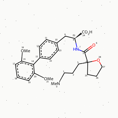 CNCCCC1(C(=O)N[C@@H](Cc2ccc(-c3c(OC)cccc3OC)cc2)C(=O)O)CCCO1